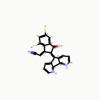 N#C/C=C1/C(=C2c3cccnc3-c3ncccc32)C(=O)c2cc(F)cc(F)c21